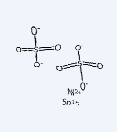 O=S(=O)([O-])[O-].O=S(=O)([O-])[O-].[Ni+2].[Sn+2]